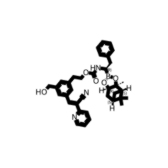 CC1(C)[C@@H]2C[C@H]3OB([C@H](Cc4ccccc4)NC(=O)OCCc4cc(C=C(C#N)c5ccccn5)cc(CO)c4)O[C@@]3(C)[C@H]1C2